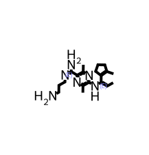 C/C=C(/Nc1nc(C)c(/C(N)=N\CCCN)nc1C)C1=C(C)CCC1